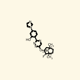 C[C@@]12CC[C@@](C)(N1)[C@@H](F)[C@@H](Oc1cnc(-c3ccc(-n4ccnc4)cc3O)nn1)C2